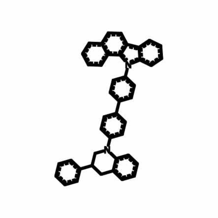 c1ccc(C2Cc3ccccc3N(c3ccc(-c4ccc(-n5c6ccccc6c6ccc7ccccc7c65)cc4)cc3)C2)cc1